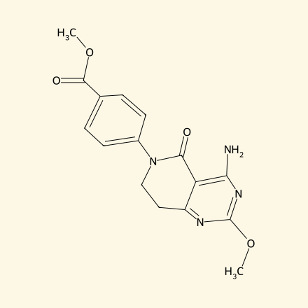 COC(=O)c1ccc(N2CCc3nc(OC)nc(N)c3C2=O)cc1